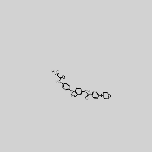 C=CC(=O)Nc1ccc(-n2ncc3cc(NC(=O)c4ccc(N5CCOCC5)cc4)ccc32)cc1